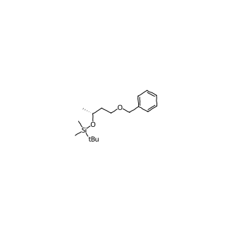 C[C@H](CCOCc1ccccc1)O[Si](C)(C)C(C)(C)C